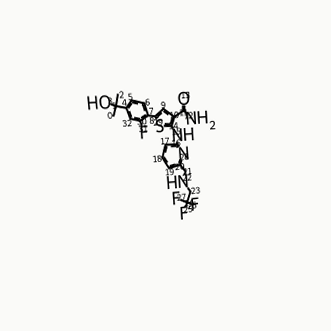 CC(C)(O)c1ccc(-c2cc(C(N)=O)c(Nc3cccc(CNCC(F)(F)F)n3)s2)c(F)c1